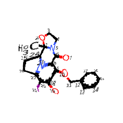 CC12OCCN1C(=O)c1c(OCc3ccccc3)c(=O)c(I)c3n1C2CC3